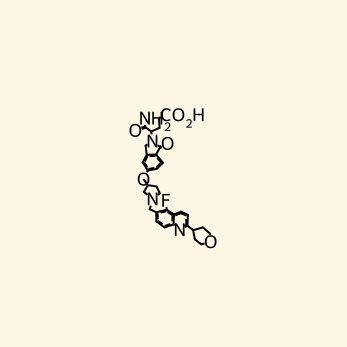 NC(=O)C(CCC(=O)O)N1Cc2cc(OC3CCN(Cc4ccc5nc(C6CCOCC6)ccc5c4F)C3)ccc2C1=O